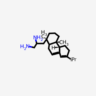 CC(C)C1=CC2=CCC3[C@@](C)(CC(N)CN)CCC[C@]3(C)[C@@H]2CC1